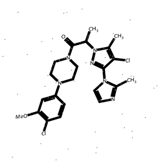 COc1cc(N2CCN(C(=O)C(C)n3nc(-n4ccnc4C)c(Cl)c3C)CC2)ccc1Cl